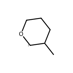 CC1[C]OCCC1